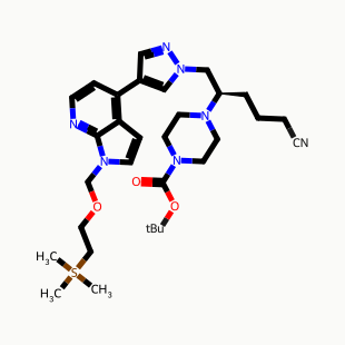 CC(C)(C)OC(=O)N1CCN([C@H](CCCC#N)Cn2cc(-c3ccnc4c3ccn4COCCS(C)(C)C)cn2)CC1